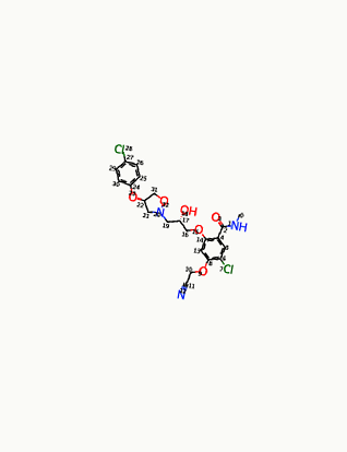 CNC(=O)c1cc(Cl)c(OCC#N)cc1OC[C@@H](O)CN1C[C@@H](Oc2ccc(Cl)cc2)CO1